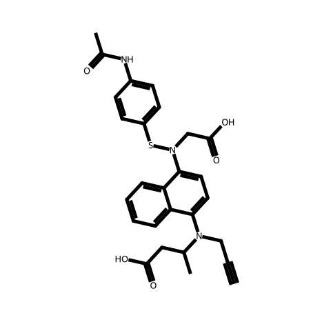 C#CCN(c1ccc(N(CC(=O)O)Sc2ccc(NC(C)=O)cc2)c2ccccc12)C(C)CC(=O)O